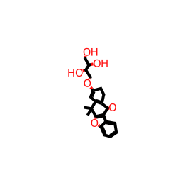 CC1(C)C2=C(CCC(OCC(O)C(O)CO)=C2)C(=O)c2c1oc1ccccc21